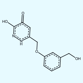 O=c1cc(COc2cccc(CO)c2)[nH]nc1O